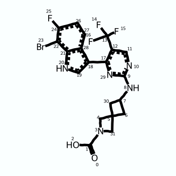 O=C(O)N1CC2(CC(Nc3ncc(C(F)(F)F)c(-c4c[nH]c5c(Br)c(F)ccc45)n3)C2)C1